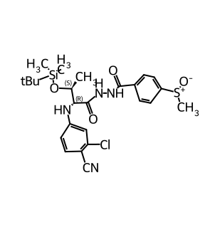 C[C@H](O[Si](C)(C)C(C)(C)C)[C@@H](Nc1ccc(C#N)c(Cl)c1)C(=O)NNC(=O)c1ccc([S+](C)[O-])cc1